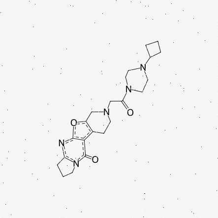 O=C(CN1CCc2c(oc3nc4n(c(=O)c23)CCC4)C1)N1CCN(C2CCC2)CC1